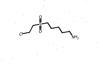 NCCCCCS(=O)(=O)CCCl